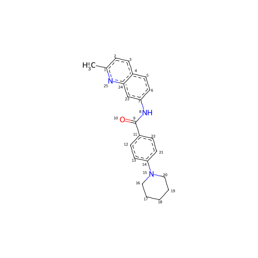 Cc1ccc2ccc(NC(=O)c3ccc(N4CCCCC4)cc3)cc2n1